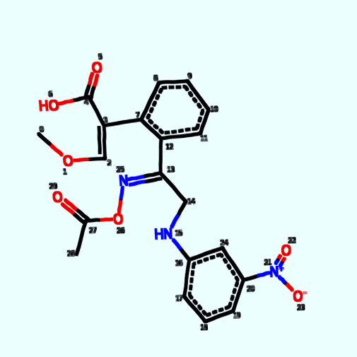 COC=C(C(=O)O)c1ccccc1C(CNc1cccc([N+](=O)[O-])c1)=NOC(C)=O